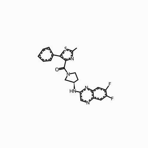 Cc1nc(C(=O)N2CC[C@@H](Nc3cnc4cc(F)c(F)cc4n3)C2)c(-c2ccccc2)s1